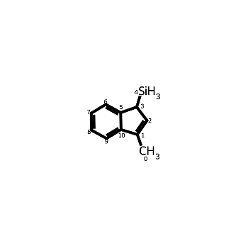 CC1=CC([SiH3])c2ccccc21